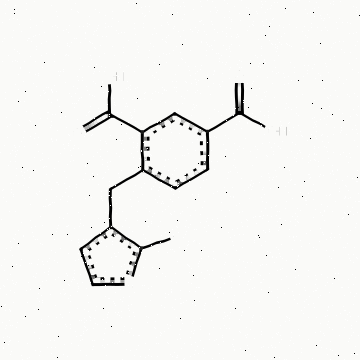 Cc1sccc1Cc1ccc(C(=O)O)cc1C(=O)O